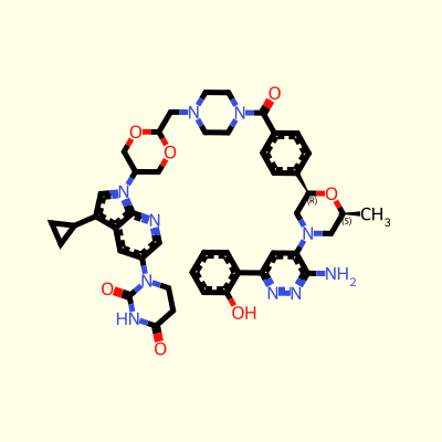 C[C@H]1CN(c2cc(-c3ccccc3O)nnc2N)C[C@@H](c2ccc(C(=O)N3CCN(CC4OCC(n5cc(C6CC6)c6cc(N7CCC(=O)NC7=O)cnc65)CO4)CC3)cc2)O1